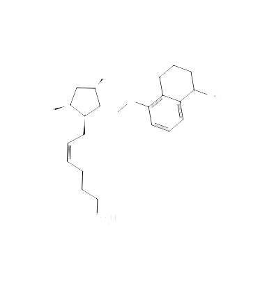 O=C(O)CCC/C=C\C[C@@H]1[C@@H](COc2cccc3c2CCCC3O)[C@H](O)C[C@@H]1Cl